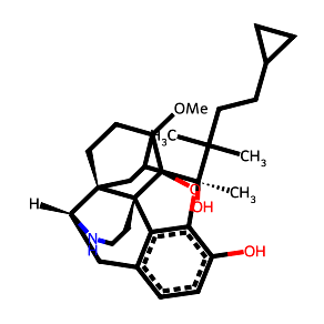 COC12CC[C@]3(CC1[C@](C)(O)C(C)(C)CCC1CC1)[C@H]1Cc4ccc(O)c5c4[C@@]3(CCN1)C2O5